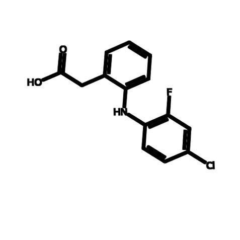 O=C(O)Cc1ccccc1Nc1ccc(Cl)cc1F